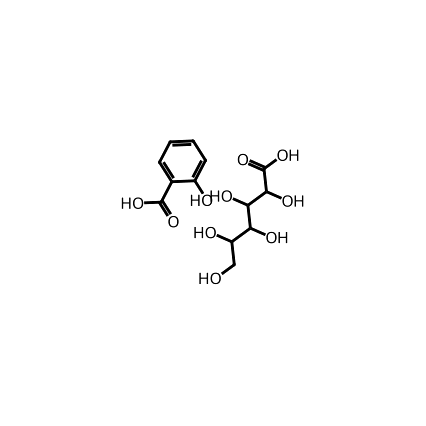 O=C(O)C(O)C(O)C(O)C(O)CO.O=C(O)c1ccccc1O